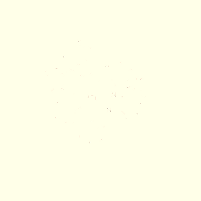 CCc1nc2cccc3c2n1-c1c(-c2ccc4c(-c5cccc(-c6ccccc6)c5)c5ccccc5c(-c5ccccc5)c4c2)cccc1S3(=O)=O